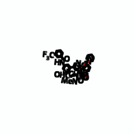 CNC(=O)C(CCC=O)N1C(=O)c2ccc(N3CC4CC(C3)N4CCOc3ncc(-c4cc(NC(=O)c5cccc(C(F)(F)F)c5)cnc4C)cc3N3CCOCC3)cc2C1=O